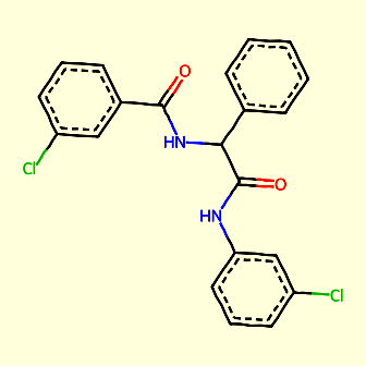 O=C(NC(C(=O)Nc1cccc(Cl)c1)c1ccccc1)c1cccc(Cl)c1